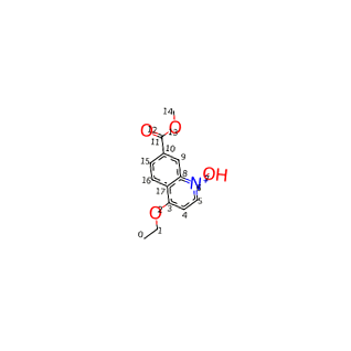 CCOc1cc[n+](O)c2cc(C(=O)OC)ccc12